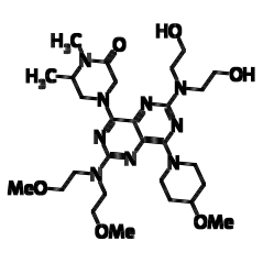 COCCN(CCOC)c1nc(N2CC(=O)N(C)C(C)C2)c2nc(N(CCO)CCO)nc(N3CCC(OC)CC3)c2n1